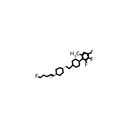 Cc1cc(F)c(F)c(F)c1C1CCC(CC[C@H]2CC[C@H](/C=C/CCCF)CC2)CC1